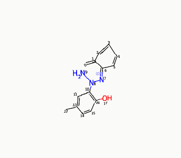 C=C1C=CC=C/C1=N/N(N)c1cc(C)ccc1O